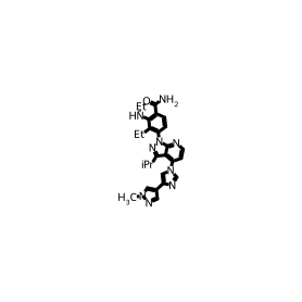 CCNc1c(C(N)=O)ccc(-n2nc(C(C)C)c3c(-n4cnc(-c5cnn(C)c5)c4)ccnc32)c1CC